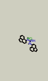 CN(C(=N)N(C)c1ccc2c3c(cccc13)C=C2)c1ccc2c3c(cccc13)C=C2.Cl